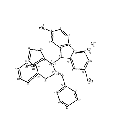 CC(C)(C)c1ccc2c(c1)[CH]([Zr+2]([C]1=CC=CC1)[SiH](Cc1ccccc1)Cc1ccccc1)c1cc(C(C)(C)C)ccc1-2.[Cl-].[Cl-]